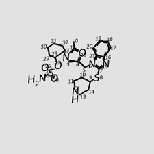 Cc1ncc(Cn2c(SC3CCNCC3)nc3ccccc32)o1.NS(=O)(=O)OC1CCCCC1